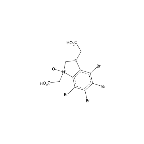 O=C(O)CN1C[N+]([O-])(CC(=O)O)c2c(Br)c(Br)c(Br)c(Br)c21